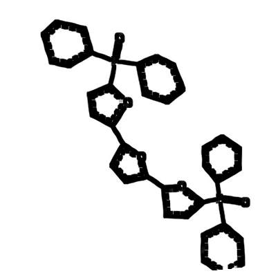 O=P(c1ccccc1)(c1ccccc1)c1ccc(-c2ccc(-c3ccc(P(=O)(c4ccccc4)c4ccccc4)o3)o2)o1